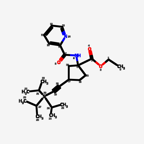 CCOC(=O)C1(NC(=O)c2ccccn2)CCC(C#C[Si](C(C)C)(C(C)C)C(C)C)C1